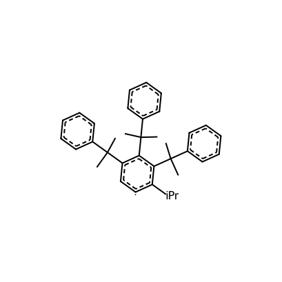 CC(C)c1[c]cc(C(C)(C)c2ccccc2)c(C(C)(C)c2ccccc2)c1C(C)(C)c1ccccc1